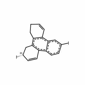 Ic1ccc2c3c(c4c(c2c1)C=CCC4)C[C@@H](I)C=C3